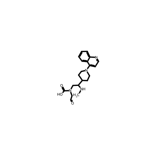 CNC(CN(CC=O)C(=O)O)C1CCN(c2ccnc3ccccc23)CC1